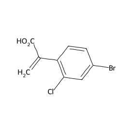 C=C(C(=O)O)c1ccc(Br)cc1Cl